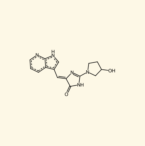 O=C1NC(N2CCC(O)C2)=N/C1=C\c1c[nH]c2ncccc12